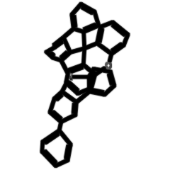 c1ccc(-c2ccc3c(c2)c2ccccc2n3-c2cccc3c2C2(c4ccccc4Oc4ccccc42)c2ccccc2-3)cc1